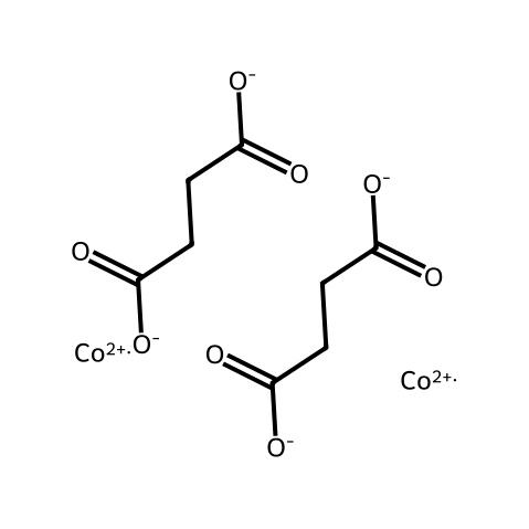 O=C([O-])CCC(=O)[O-].O=C([O-])CCC(=O)[O-].[Co+2].[Co+2]